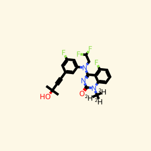 [2H]C([2H])([2H])n1c(=O)nc(N(CC(F)F)c2cc(F)cc(C#CC(C)(C)O)c2)c2c(F)cccc21